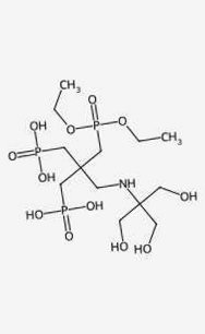 CCOP(=O)(CC(CNC(CO)(CO)CO)(CP(=O)(O)O)CP(=O)(O)O)OCC